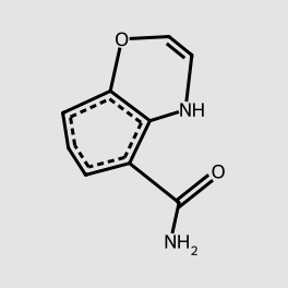 NC(=O)c1cccc2c1NC=CO2